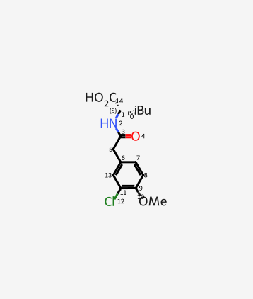 CC[C@H](C)[C@H](NC(=O)Cc1ccc(OC)c(Cl)c1)C(=O)O